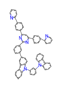 c1ccc(-c2ccc(-c3cc(-c4ccc(-c5ccccn5)cc4)nc(-c4cccc(-c5ccc6c(c5)c5ccccc5n6-c5cccc(-n6c7ccccc7c7ccccc76)c5)c4)n3)cc2)nc1